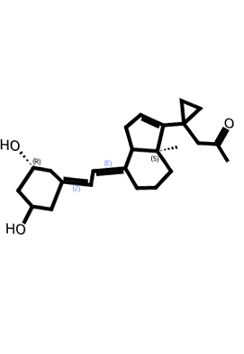 CC(=O)CC1(C2=CCC3/C(=C/C=C4/CC(O)C[C@H](O)C4)CCC[C@]23C)CC1